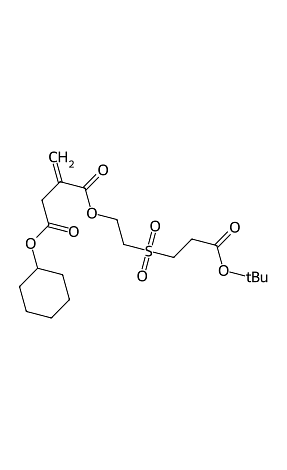 C=C(CC(=O)OC1CCCCC1)C(=O)OCCS(=O)(=O)CCC(=O)OC(C)(C)C